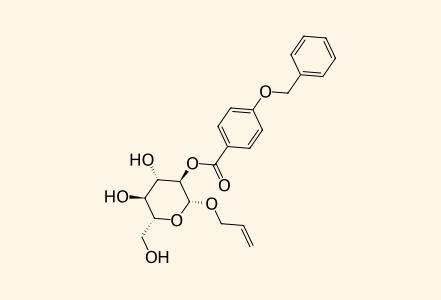 C=CCO[C@@H]1O[C@H](CO)[C@@H](O)[C@H](O)[C@H]1OC(=O)c1ccc(OCc2ccccc2)cc1